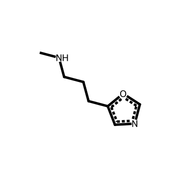 CNCCCc1cnco1